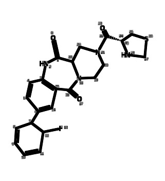 O=C1Nc2ccc(C3C=CC=CC3F)cc2C(=O)N2CCN(C(=O)[C@@H]3CSCN3)CC12